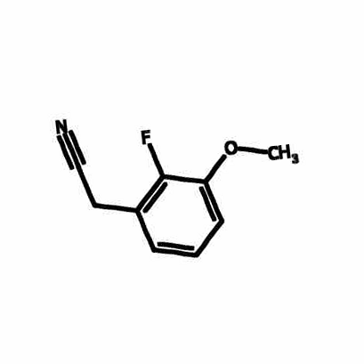 COc1cccc(CC#N)c1F